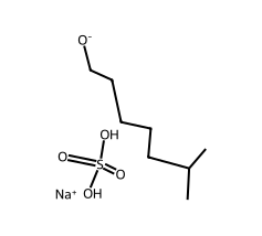 CC(C)CCCCC[O-].O=S(=O)(O)O.[Na+]